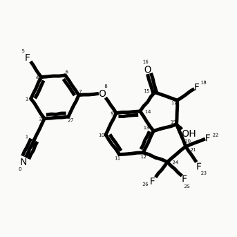 N#Cc1cc(F)cc(Oc2ccc3c4c2C(=O)C(F)C4(O)C(F)(F)C3(F)F)c1